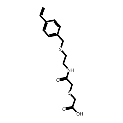 C=Cc1ccc(CSCCNC(=O)CSCC(=O)O)cc1